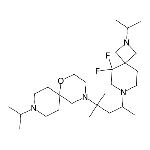 CC(C)N1CCC2(CC1)CN(C(C)(C)CC(C)N1CCC3(CN(C(C)C)C3)C(F)(F)C1)CCO2